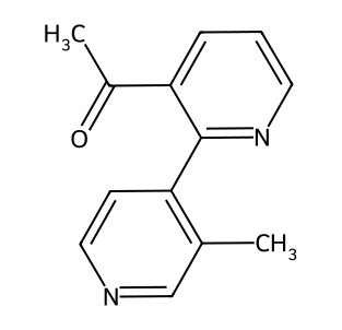 CC(=O)c1cccnc1-c1ccncc1C